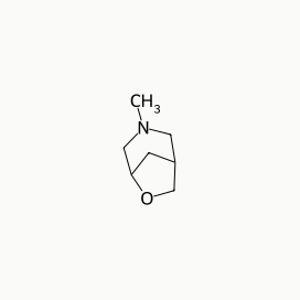 CN1CC2COC(C2)C1